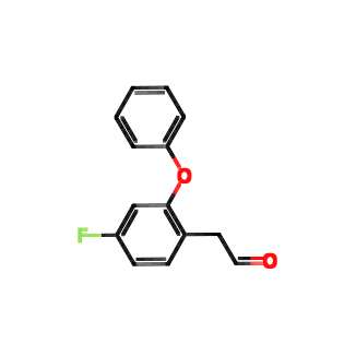 O=CCc1ccc(F)cc1Oc1ccccc1